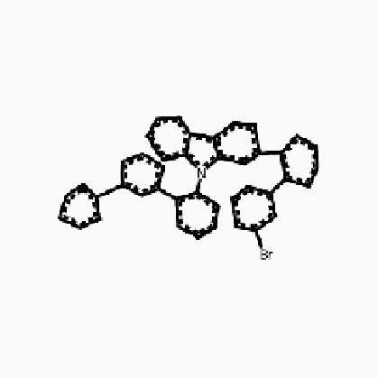 Brc1cccc(-c2ccccc2-c2ccc3c4ccccc4n(-c4ccccc4-c4cccc(-c5ccccc5)c4)c3c2)c1